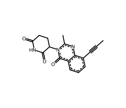 CC#Cc1cccc2c(=O)n(C3CCC(=O)NC3=O)c(C)nc12